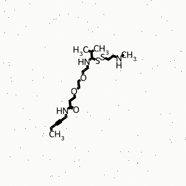 CCC#CCNC(=O)CCOCCOCCNC(SSCCNC)C(C)C